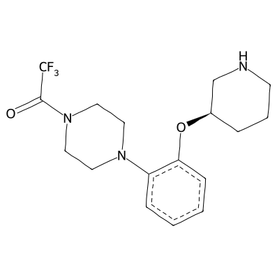 O=C(N1CCN(c2ccccc2O[C@@H]2CCCNC2)CC1)C(F)(F)F